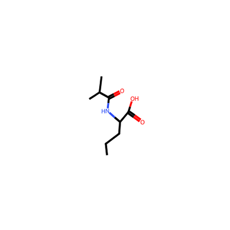 CCCC(NC(=O)C(C)C)C(=O)O